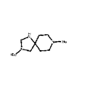 CC(C)(C)N1CCC2(CC1)CN(C(C)(C)C)CN2